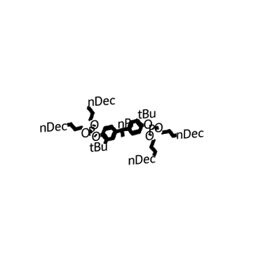 CCCCCCCCCCCCCOP(OCCCCCCCCCCCCC)Oc1ccc(C(C)(CCC)c2ccc(OP(OCCCCCCCCCCCCC)OCCCCCCCCCCCCC)c(C(C)(C)C)c2)cc1C(C)(C)C